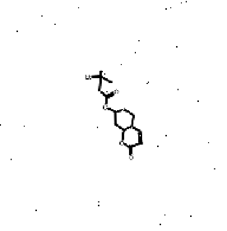 CCC(C)(C)CC(=O)OC1CCC2C=CC(=O)OC2C1